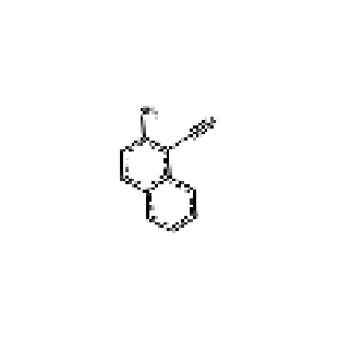 N#Cc1c(N)ccc2ccccc12